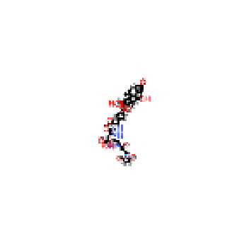 C[C@]12C=CC(=O)C=C1CC[C@@H]1[C@@H]2[C@@H](O)C[C@@]2(C)[C@H]1C[C@H]1O[C@@H](c3ccc(CC4(NC(=O)[C@H](CCC(=O)O)NC(=O)CNC(=O)CCN5C(=O)C=CC5=O)COC4)cc3)O[C@]12C(=O)CO